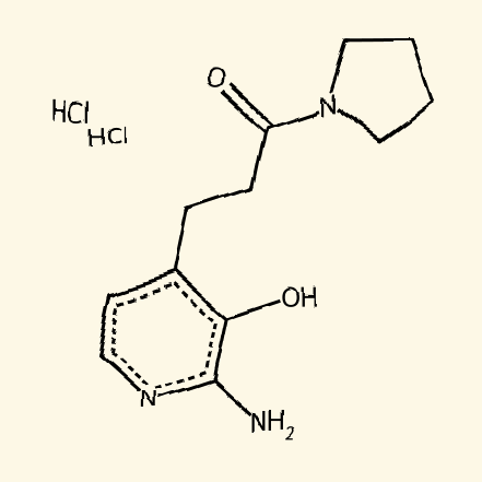 Cl.Cl.Nc1nccc(CCC(=O)N2CCCC2)c1O